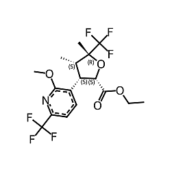 CCOC(=O)[C@H]1O[C@@](C)(C(F)(F)F)[C@@H](C)[C@H]1c1ccc(C(F)(F)F)nc1OC